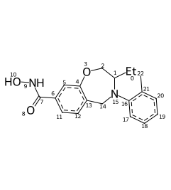 CCC1COc2cc(C(=O)NO)ccc2CN1c1ccccc1C